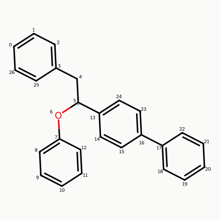 c1ccc(C[C](Oc2ccccc2)c2ccc(-c3ccccc3)cc2)cc1